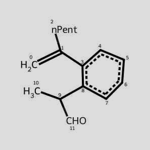 C=C(CCCCC)c1ccccc1C(C)C=O